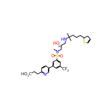 CN(C[C@H](O)CNC(C)(C)CCCC1CC=CS1)S(=O)(=O)c1cc(-c2ccc(CCC(=O)O)nc2)cc(C(F)(F)F)c1